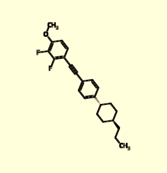 CCC[C@H]1CC[C@H](c2ccc(C#Cc3ccc(OC)c(F)c3F)cc2)CC1